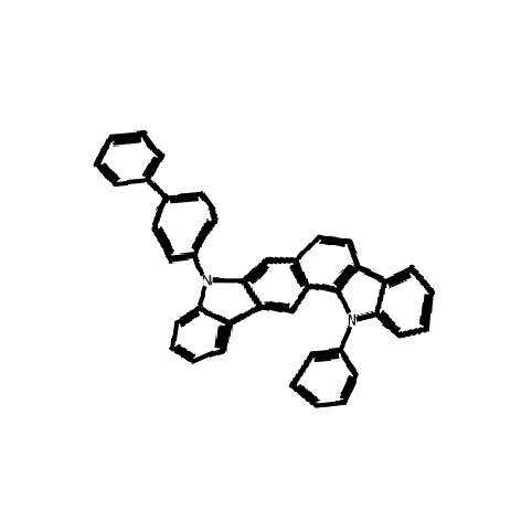 c1ccc(-c2ccc(-n3c4ccccc4c4cc5c(ccc6c7ccccc7n(-c7ccccc7)c56)cc43)cc2)cc1